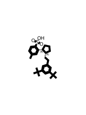 Cc1ccc(S(=O)(=O)O)c([C@@H]2CCC[C@@H]2CCc2cc(C(C)(C)C)cc(C(C)(C)C)c2)c1